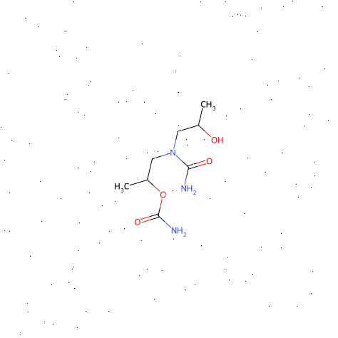 CC(O)CN(CC(C)OC(N)=O)C(N)=O